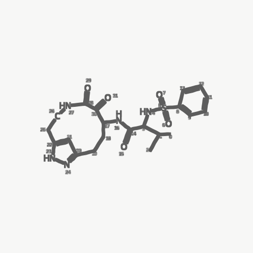 CC(C)C(NS(=O)(=O)c1ccccc1)C(=O)NC1CCc2cc([nH]n2)CCNC(=O)C1=O